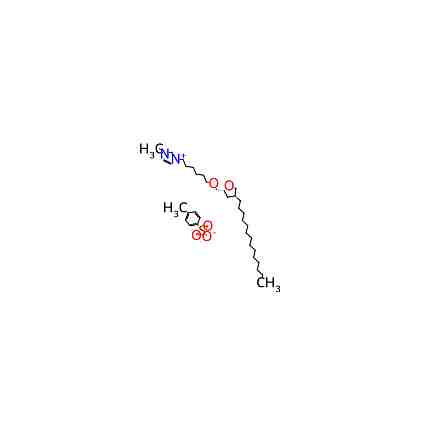 CCCCCCCCCCCCCC[C@@H]1CO[C@@H](COCCCCCC[n+]2ccn(C)c2)C1.Cc1ccc(S(=O)(=O)[O-])cc1